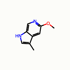 COc1cc2c(C)c[nH]c2cn1